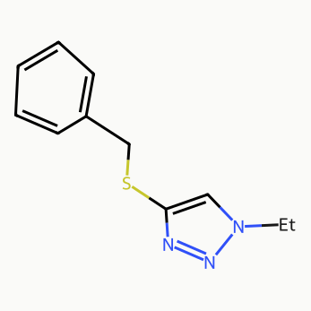 CCn1cc(SCc2ccccc2)nn1